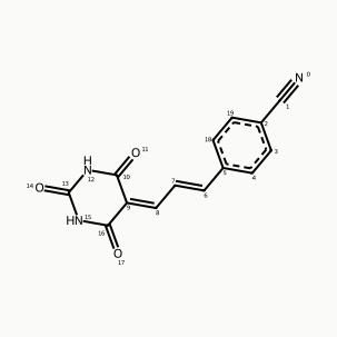 N#Cc1ccc(/C=C/C=C2C(=O)NC(=O)NC2=O)cc1